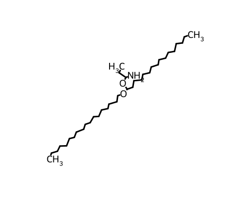 CCCCCCCCCCCCCCCCCCOC(CCCCCCCCCCCCCCC)OC(N)CC